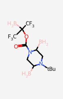 BC1CN(C(C)(C)C)C(B)CN1C(=O)OC(B)(C(F)(F)F)C(F)(F)F